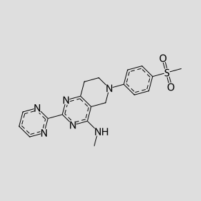 CNc1nc(-c2ncccn2)nc2c1CN(c1ccc(S(C)(=O)=O)cc1)CC2